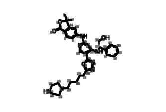 CC1(C)OC(=O)c2ccc(Nc3ncc(-c4nnc(CCCCCN5CCNCC5)o4)c(N[C@H](CO)c4ccccc4)n3)cc21